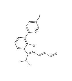 CC(C)c1c(C=CC=O)oc2c(-c3ccc(F)cc3)cccc12